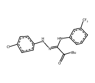 CC(C)(C)C(=O)/C(=N/Nc1ccc(Cl)cc1)Nc1cccc(C(F)(F)F)c1